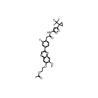 COc1cc2nc(-c3ccc(CC(=O)Nc4cc(C5(C(F)(F)F)CC5)on4)c(F)c3)cnc2cc1OCCOC(C)=O